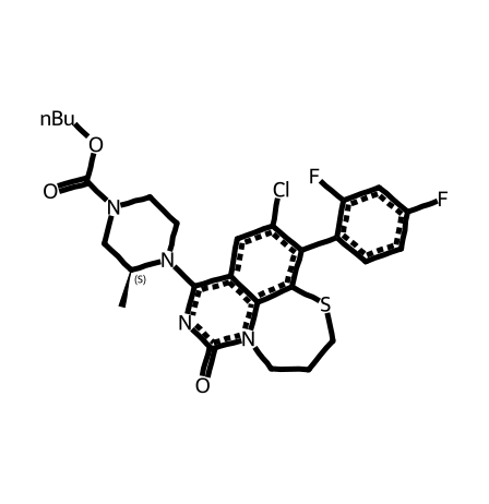 CCCCOC(=O)N1CCN(c2nc(=O)n3c4c(c(-c5ccc(F)cc5F)c(Cl)cc24)SCCC3)[C@@H](C)C1